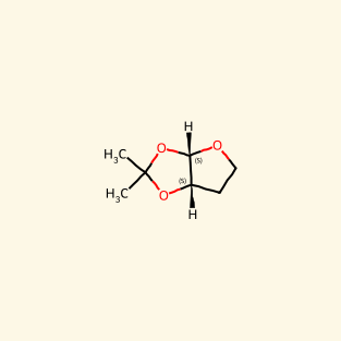 CC1(C)O[C@@H]2OCC[C@@H]2O1